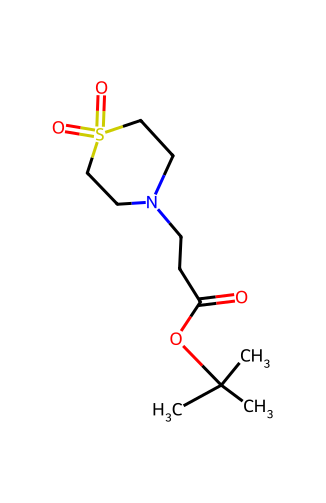 CC(C)(C)OC(=O)CCN1CCS(=O)(=O)CC1